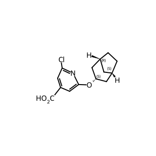 O=C(O)c1cc(Cl)nc(O[C@@H]2C[C@@H]3CC[C@@H](C3)C2)c1